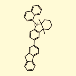 CC12CCCCC1(C)N(c1cccc3ccccc13)c1ccc(-c3ccc4c(c3)Cc3ccccc3-4)cc12